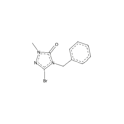 Cn1nc(Br)n(Cc2ccccc2)c1=O